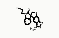 Cc1noc2cc3c(cc12)C1(CO3)C(=O)N(CCC(C)C)c2ccccc21